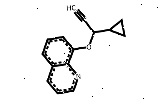 C#CC(Oc1cccc2cccnc12)C1CC1